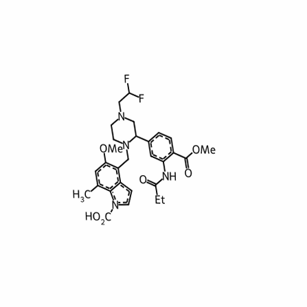 CCC(=O)Nc1cc(C2CN(CC(F)F)CCN2Cc2c(OC)cc(C)c3c2ccn3C(=O)O)ccc1C(=O)OC